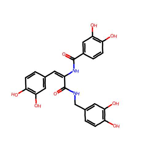 O=C(NCc1ccc(O)c(O)c1)/C(=C\c1ccc(O)c(O)c1)NC(=O)c1ccc(O)c(O)c1